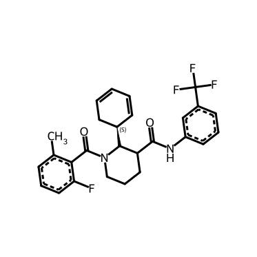 Cc1cccc(F)c1C(=O)N1CCCC(C(=O)Nc2cccc(C(F)(F)F)c2)C1[C@@H]1C=CC=CC1